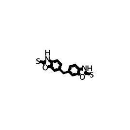 S=c1[nH]c2ccc(Cc3ccc4[nH]c(=S)oc4c3)cc2o1